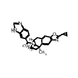 CC1(C)[C@H]2Cc3cc4oc(C5CC5)nc4cc3[C@]1(C)CCN2C(=O)c1ccc2nc[nH]c2c1